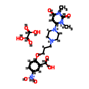 Cn1c(N2CCN(CCCOc3ccc([N+](=O)[O-])cc3C(=O)O)CC2)cc(=O)n(C)c1=O.O=C(O)C(=O)O